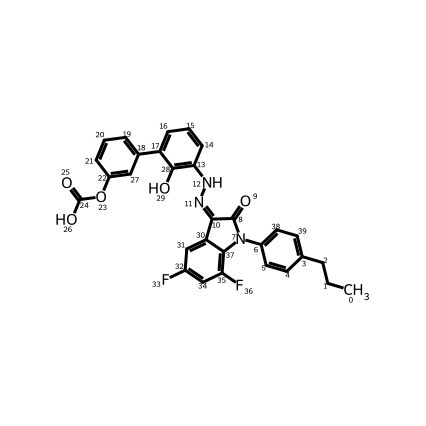 CCCc1ccc(N2C(=O)C(=NNc3cccc(-c4cccc(OC(=O)O)c4)c3O)c3cc(F)cc(F)c32)cc1